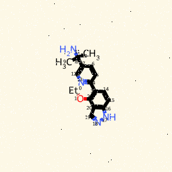 CCOc1c(-c2ccc(C(C)(C)N)cn2)ccc2[nH]ncc12